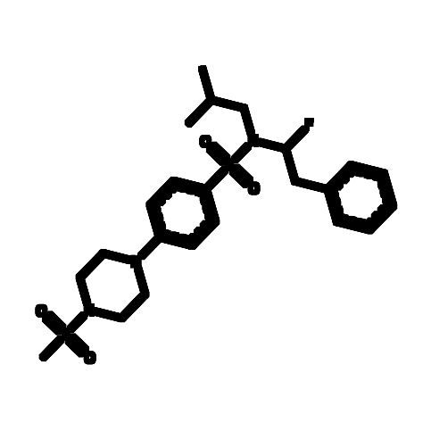 CC(C)CN(C(F)Cc1ccccc1)S(=O)(=O)c1ccc(N2CCN(S(C)(=O)=O)CC2)cc1